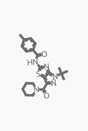 Cc1ccc(C(=O)Nc2nc3c(s2)c(C(=O)N2CCCCC2)nn3C(C)(C)C)cc1